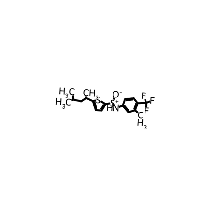 Cc1cc(N[S+]([O-])c2ccc(C(C)CC(C)C)s2)ccc1C(F)(F)F